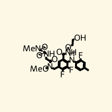 CNS(=O)(=O)NCC(=O)N(Cc1cc(C(=O)NOCCO)c(Nc2ccc(C)cc2F)c(F)c1F)OC